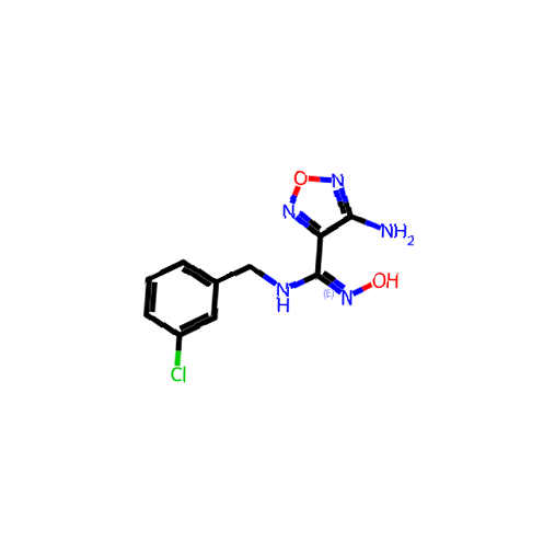 Nc1nonc1/C(=N\O)NCc1cccc(Cl)c1